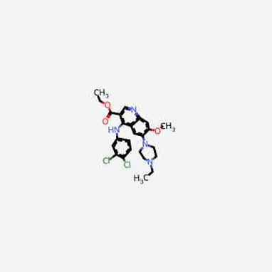 CCOC(=O)c1cnc2cc(OC)c(N3CCN(CC)CC3)cc2c1Nc1ccc(Cl)c(Cl)c1